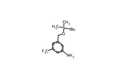 CC(C)(C)[Si](C)(C)OCc1cc(N)cc(C(F)(F)F)c1